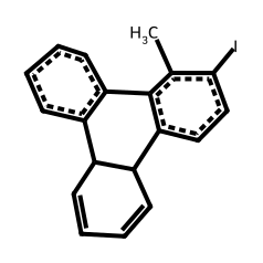 Cc1c(I)ccc2c1-c1ccccc1C1C=CC=CC21